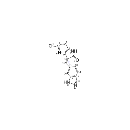 O=C1Nc2ccc(Cl)nc2/C1=C/c1ccc2cn[nH]c2c1